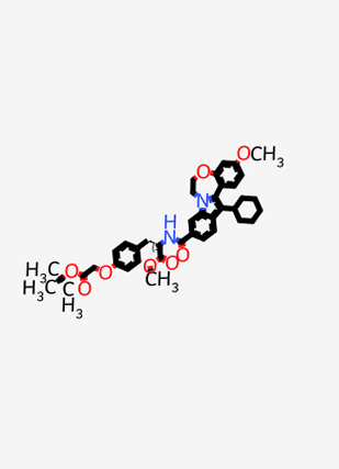 COC(=O)[C@H](Cc1ccc(OCC(=O)OC(C)(C)C)cc1)NC(=O)c1ccc2c(C3CCCCC3)c3n(c2c1)CCOc1cc(OC)ccc1-3